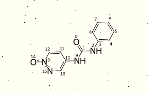 O=C(Nc1ccccc1)Nc1cc[n+]([O-])nc1